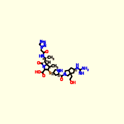 C[C@@H](NC(=O)Cn1cnnn1)[C@H]1C(=O)N2C(C(=O)O)=C(S[C@@H]3CN[C@H](C(=O)N4CC5C[C@@H](NC(=N)N)C[C@]5(CCO)C4)C3)[C@H](C)[C@H]12